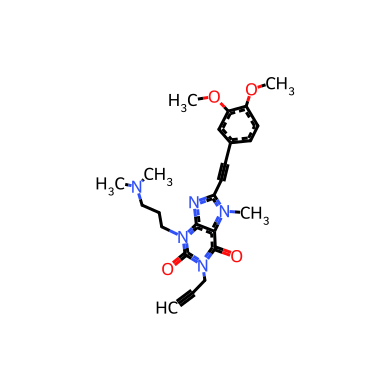 C#CCn1c(=O)c2c(nc(C#Cc3ccc(OC)c(OC)c3)n2C)n(CCCN(C)C)c1=O